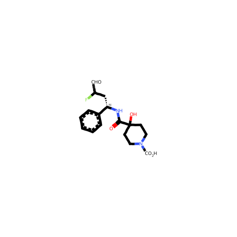 O=CC(F)C[C@H](NC(=O)C1(O)CCN(C(=O)O)CC1)c1ccccc1